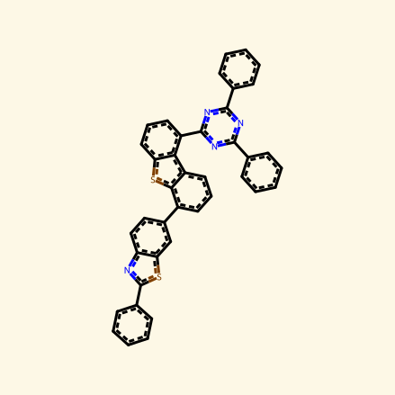 c1ccc(-c2nc(-c3ccccc3)nc(-c3cccc4sc5c(-c6ccc7nc(-c8ccccc8)sc7c6)cccc5c34)n2)cc1